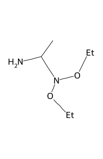 CCON(OCC)C(C)N